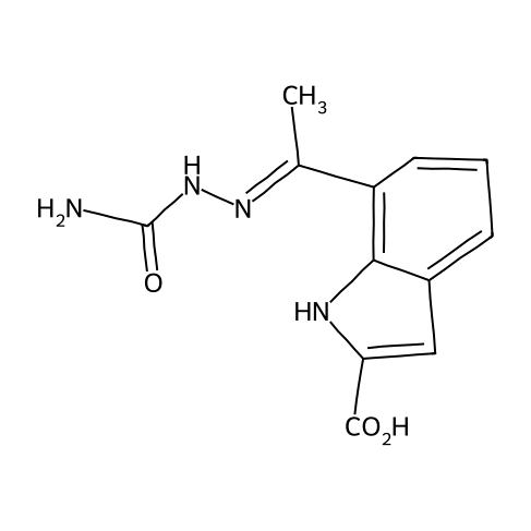 CC(=NNC(N)=O)c1cccc2cc(C(=O)O)[nH]c12